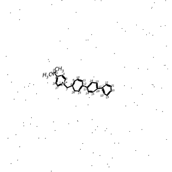 CN(C)c1cc[n+](CC2=CC=CC(c3ccc(-c4ccccc4)cc3)=CC2)cc1